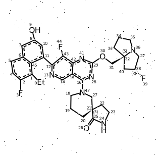 CCc1c(F)ccc2cc(O)cc(-c3ncc4c(N5CCC[C@]6(CCNC6=O)C5)nc(OC[C@@]56CCCN5C[C@H](F)C6)nc4c3F)c12